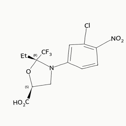 CC[C@]1(C(F)(F)F)O[C@H](C(=O)O)CN1c1ccc([N+](=O)[O-])c(Cl)c1